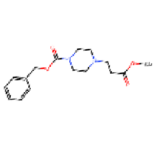 CC(C)(C)OC(=O)CCN1CCN(C(=O)OCc2ccccc2)CC1